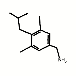 Cc1cc(CN)cc(C)c1CC(C)C